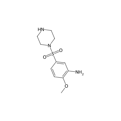 COc1ccc(S(=O)(=O)N2CCNCC2)cc1N